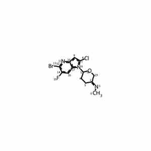 C/N=C1\CCC(n2c(Cl)cc3nc(Br)c(F)cc32)OC1